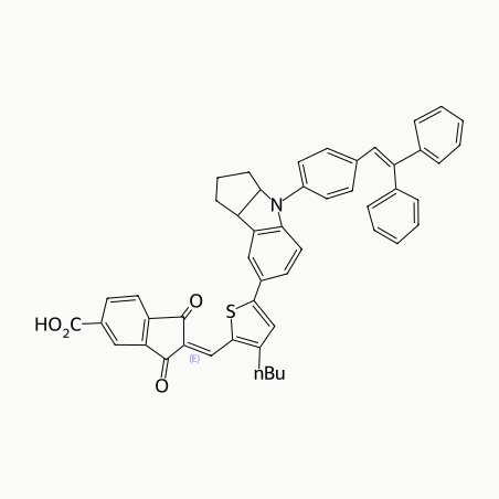 CCCCc1cc(-c2ccc3c(c2)C2CCCC2N3c2ccc(C=C(c3ccccc3)c3ccccc3)cc2)sc1/C=C1\C(=O)c2ccc(C(=O)O)cc2C1=O